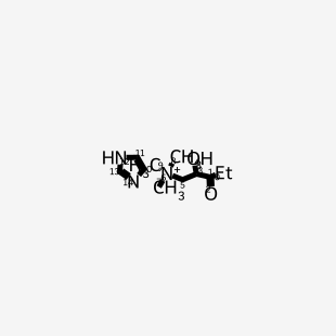 CCC(=O)C(O)C[N+](C)(C)C.c1c[nH]cn1